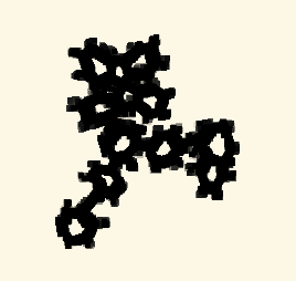 c1cncc(-c2ccc(-c3cc(-c4ccc(-c5cncc6ccccc56)cc4)nc(-c4cccc5c4-c4ccccc4C54c5ccccc5-c5ccccc54)n3)cc2)c1